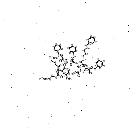 CCCCCCCCCCCCCC(=O)N[C@H]1[C@@H](OC(CC(=O)OCc2ccccc2)CC(=O)OCc2ccccc2)O[C@H](COC(=O)[C@@H](CCC(=O)OCc2ccccc2)NC(=O)CCCCCCCc2ccccc2)[C@@H](O)[C@@H]1OC(=O)CCCCCCCCCCCCC